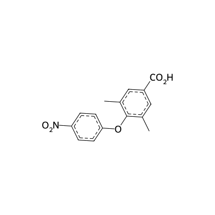 Cc1cc(C(=O)O)cc(C)c1Oc1ccc([N+](=O)[O-])cc1